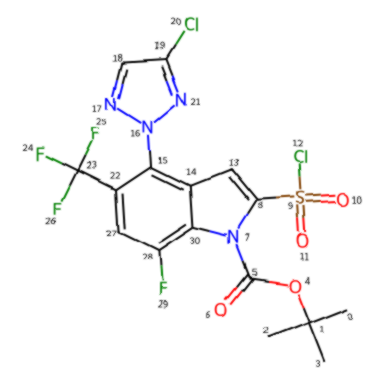 CC(C)(C)OC(=O)n1c(S(=O)(=O)Cl)cc2c(-n3ncc(Cl)n3)c(C(F)(F)F)cc(F)c21